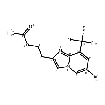 CC(=O)OCCc1cn2cc(Br)cc(C(F)(F)F)c2n1